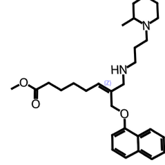 COC(=O)CCCC/C=C(/CNCCCN1CCCCC1C)COc1cccc2ccccc12